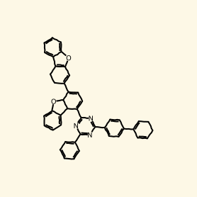 C1=CC(c2ccc(-c3nc(C4=CC=C(C5=Cc6oc7ccccc7c6CC5)C5Oc6ccccc6C45)nc(-c4ccccc4)n3)cc2)=CCC1